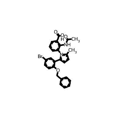 CC(=O)Nc1c(C(=O)O)cccc1-n1c(C)ccc1-c1cc(Br)ccc1OCc1ccccc1